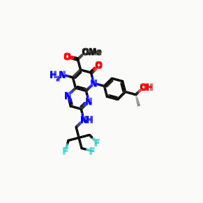 COC(=O)c1c(N)c2ncc(NCC(CF)(CF)CF)nc2n(-c2ccc([C@@H](C)O)cc2)c1=O